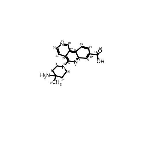 CC1(N)CCN(c2nc3cc(C(=O)O)ccc3c3cnccc23)CC1